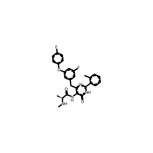 CN[C@@H](C)C(=O)Nc1c(Cc2cc(F)cc(Oc3ccc(F)cc3)c2)nc(-c2ccccc2C)[nH]c1=O